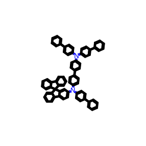 c1ccc(-c2ccc(N(c3ccc(-c4ccccc4)cc3)c3ccc(-c4ccc(N(c5ccc(-c6ccccc6)cc5)c5ccc6c(c5)C5(c7ccccc7-c7ccccc75)c5ccccc5-6)cc4)cc3)cc2)cc1